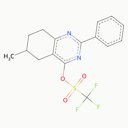 CC1CCc2nc(-c3ccccc3)nc(OS(=O)(=O)C(F)(F)F)c2C1